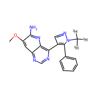 [2H]C([2H])([2H])n1ncc(-c2ncnc3cc(OC)c(N)nc23)c1-c1ccccc1